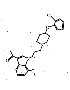 COc1cccc2c(C(C)=O)cn(CCCN3CCC(Oc4ccccc4Cl)CC3)c12